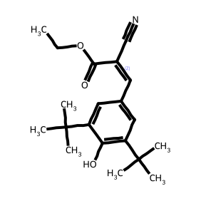 CCOC(=O)/C(C#N)=C\c1cc(C(C)(C)C)c(O)c(C(C)(C)C)c1